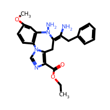 CCOC(=O)c1ncn2c1C/C(=C(/N)Cc1ccccc1)N(N)c1cc(OC)ccc1-2